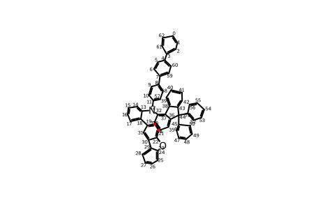 c1ccc(-c2ccc(-c3ccc(N(c4ccccc4-c4ccc5oc6ccccc6c5c4)c4cccc5c4-c4ccccc4C5(c4ccccc4)c4ccccc4)cc3)cc2)cc1